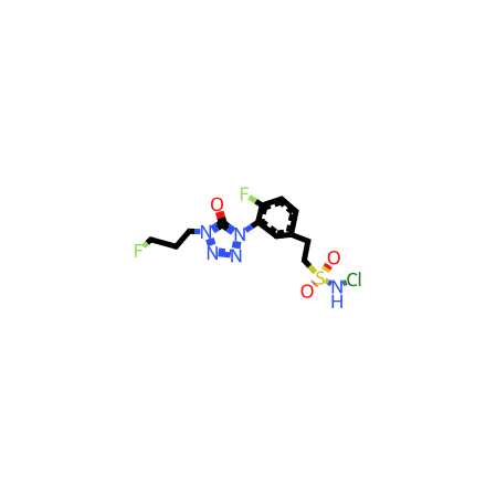 O=c1n(CCCF)nnn1-c1cc(CCS(=O)(=O)NCl)ccc1F